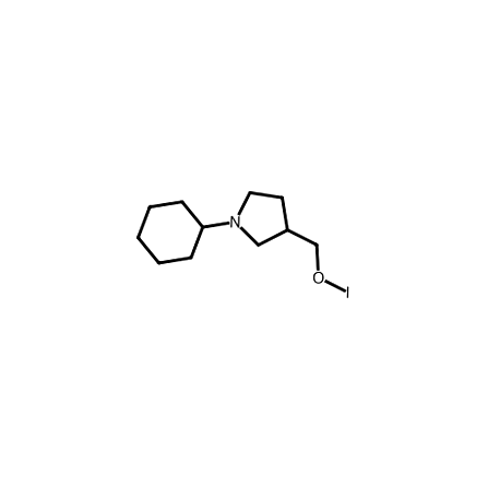 IOCC1CCN(C2CCCCC2)C1